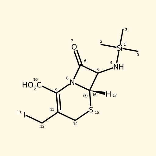 C[Si](C)(C)NC1C(=O)N2C(C(=O)O)=C(CI)CS[C@@H]12